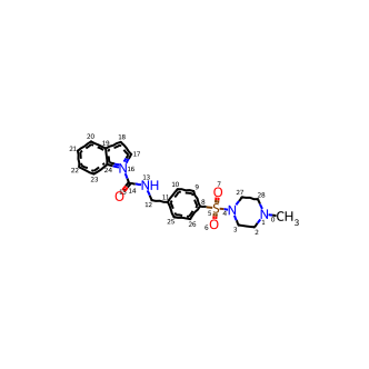 CN1CCN(S(=O)(=O)c2ccc(CNC(=O)n3ccc4ccccc43)cc2)CC1